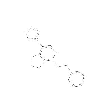 c1ccc(CNc2ncc(-c3cn[nH]c3)c3c2CCO3)cc1